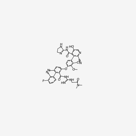 COc1c(Oc2ccc(C#N)c(-c3cccc(F)c3C#N)c2C(=O)NC(=N)NCC(=O)N(C)C)ccc(-c2c(C#N)ncc(O)c2C(=O)NC2=NCCN2)c1Cl